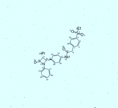 CCS(=O)(=O)c1ccc(CC(=O)Nc2ccc([C@@H]3[C@@H](C(C)C)C(=O)N3c3ccccc3)cc2)cc1